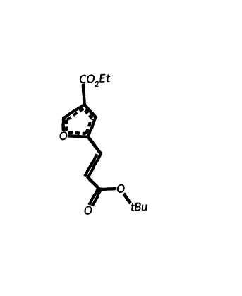 CCOC(=O)c1coc(C=CC(=O)OC(C)(C)C)c1